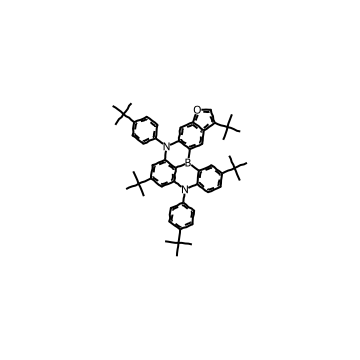 CC(C)(C)c1ccc(N2c3ccc(C(C)(C)C)cc3B3c4cc5c(C(C)(C)C)coc5cc4N(c4ccc(C(C)(C)C)cc4)c4cc(C(C)(C)C)cc2c43)cc1